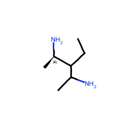 CCC(C(C)N)[C@@H](C)N